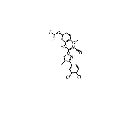 COc1ccc(OC(F)F)cc1N/C(=N/C#N)N1CC(C)C(c2ccc(Cl)c(Cl)c2)=N1